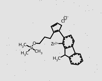 CC1c2ccccc2-c2ccc(C3=C(CCCO[Si](C)(C)C)C=CC3)[c]([Zr+2])c21.[Cl-].[Cl-]